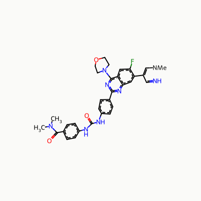 CN/C=C(\C=N)c1cc2nc(-c3ccc(NC(=O)Nc4ccc(C(=O)N(C)C)cc4)cc3)nc(N3CCOCC3)c2cc1F